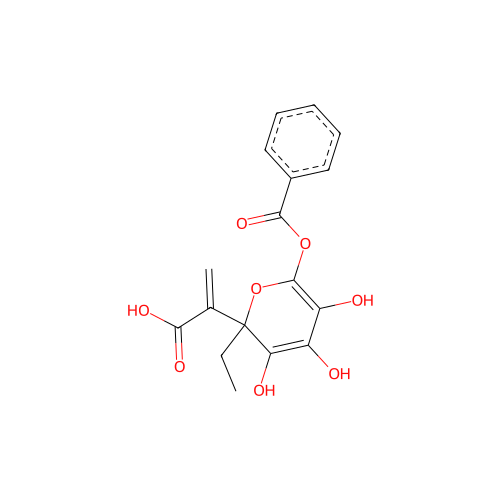 C=C(C(=O)O)C1(CC)OC(OC(=O)c2ccccc2)=C(O)C(O)=C1O